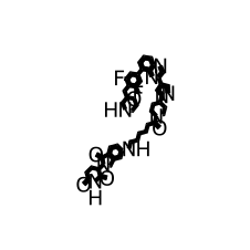 O=C1CCC(N2Cc3cc(NCCCCCC(=O)N4CCC(n5cc(-c6cnc7cccc(-c8cc(F)c(CC9CNCCO9)c(F)c8)c7n6)cn5)CC4)ccc3C2=O)C(=O)N1